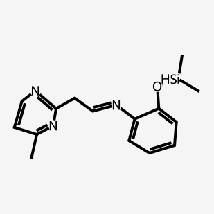 Cc1ccnc(CC=Nc2ccccc2O[SiH](C)C)n1